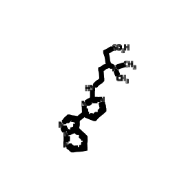 CN(C)C(CCNc1nccc(-c2cnn3ncccc23)n1)CS(=O)(=O)O